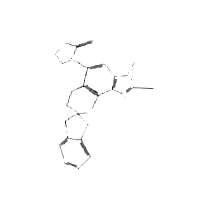 Cc1nc2c3c(c(N4CCCC4=O)cc2n1C)CCC1(Cc2ccccc2C1)O3